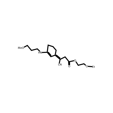 CCOCCOC(=O)C/C(C#N)=C1/C=C(NCCCOC)CCC1